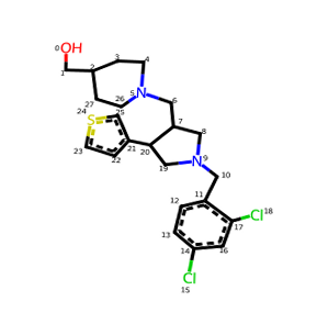 OCC1CCN(CC2CN(Cc3ccc(Cl)cc3Cl)CC2c2ccsc2)CC1